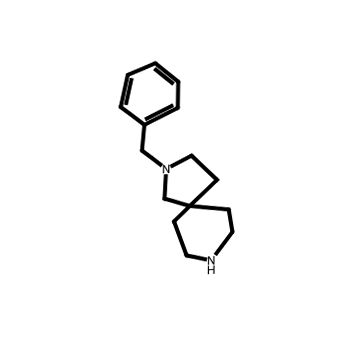 c1ccc(CN2CCC3(CCNCC3)C2)cc1